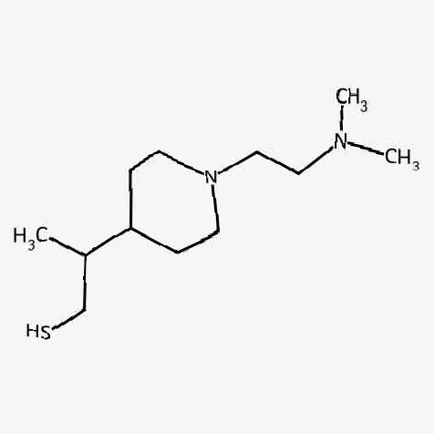 CC(CS)C1CCN(CCN(C)C)CC1